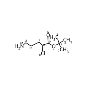 CC(C)(C)OC(=O)C(Cl)CCCN